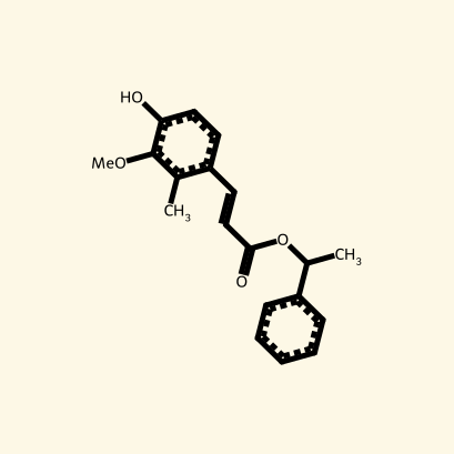 COc1c(O)ccc(C=CC(=O)OC(C)c2ccccc2)c1C